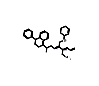 C=C/C=C(CN)/C(=C/CC(C)C1=C2C=CC=CC2C(c2ccccc2)CC1)CNC1C=CCCC1